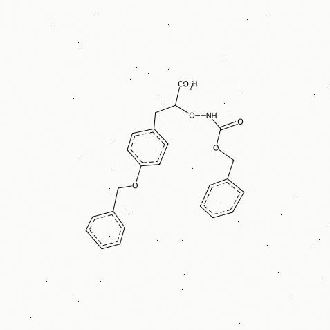 O=C(NOC(Cc1ccc(OCc2ccccc2)cc1)C(=O)O)OCc1ccccc1